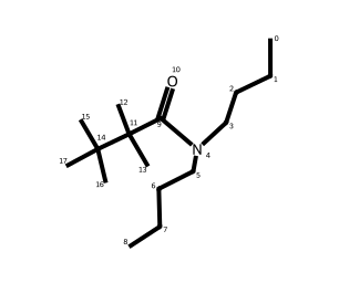 CCCCN(CCCC)C(=O)C(C)(C)C(C)(C)C